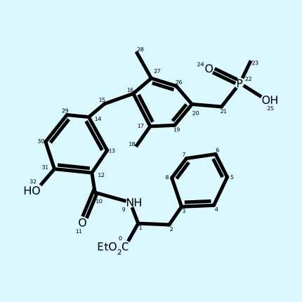 CCOC(=O)C(Cc1ccccc1)NC(=O)c1cc(Cc2c(C)cc(CP(C)(=O)O)cc2C)ccc1O